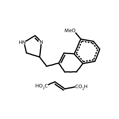 COc1cccc2c1C=C(CC1CNC=N1)CC2.O=C(O)C=CC(=O)O